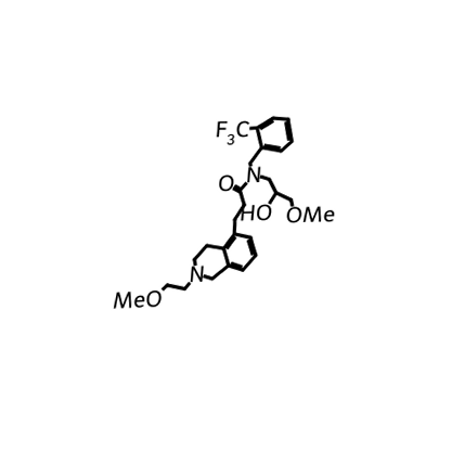 COCCN1CCc2c(CCC(=O)N(Cc3ccccc3C(F)(F)F)CC(O)COC)cccc2C1